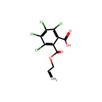 C=CCOC(=O)c1c(Cl)c(Cl)c(Cl)c(Cl)c1C(=O)O